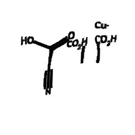 CC(=O)O.CC(=O)O.N#CC(=O)O.[Cu]